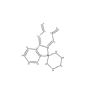 C=C/C=C\C(=C/C=C)C1(c2ccccc2)CCCCC1